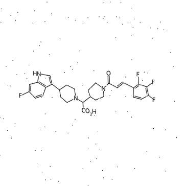 O=C(O)C(C1CCN(C(=O)C=Cc2ccc(F)c(F)c2F)CC1)N1CCC(c2c[nH]c3cc(F)ccc23)CC1